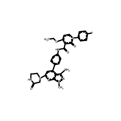 CCOc1ccn(-c2ccc(F)cc2)c(=O)c1C(=O)Nc1ccc(-c2cc(N3CCNC(=O)C3)nc3c2c(N)nn3C)cc1